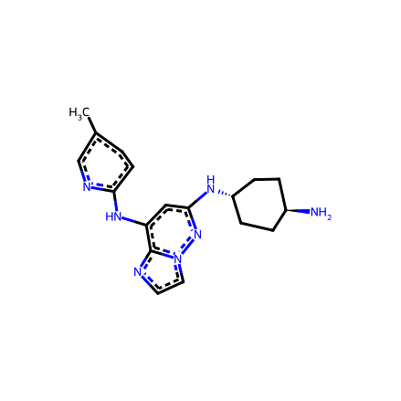 Cc1ccc(Nc2cc(N[C@H]3CC[C@H](N)CC3)nn3ccnc23)nc1